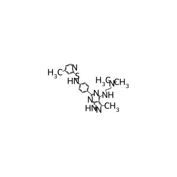 Cc1ccnc(SNc2ccc(-c3nc(NCCN(C)C)c4c(C)n[nH]c4n3)cc2)c1